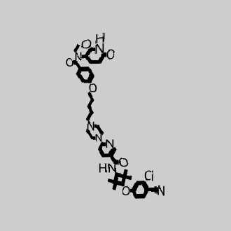 CCN(C(=O)c1ccc(OCCCCCN2CCN(c3ccc(C(=O)N[C@H]4C(C)(C)[C@H](Oc5ccc(C#N)c(Cl)c5)C4(C)C)cn3)CC2)cc1)C1CCC(=O)NC1=O